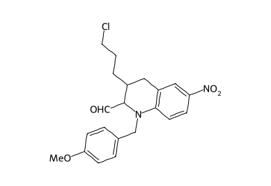 COc1ccc(CN2c3ccc([N+](=O)[O-])cc3CC(CCCCl)C2C=O)cc1